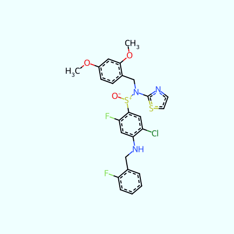 COc1ccc(CN(c2nccs2)[S+]([O-])c2cc(Cl)c(NCc3ccccc3F)cc2F)c(OC)c1